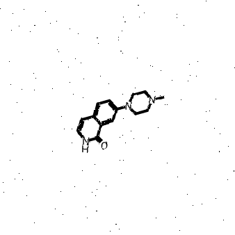 CN1CCN(c2ccc3cc[nH]c(=O)c3c2)CC1